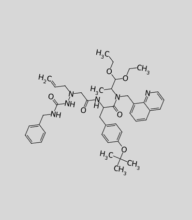 C=CCN(CC(=O)NC(Cc1ccc(OC(C)(C)C)cc1)C(=O)N(Cc1cccc2cccnc12)C(C)C(OCC)OCC)NC(=O)NCc1ccccc1